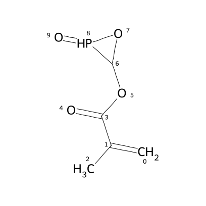 C=C(C)C(=O)OC1O[PH]1=O